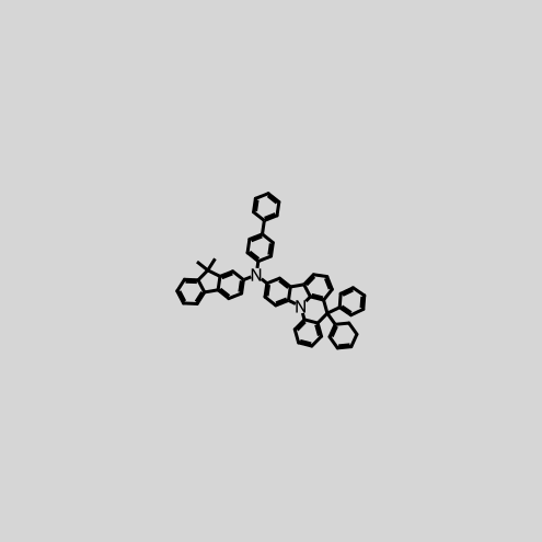 CC1(C)c2ccccc2-c2ccc(N(c3ccc(-c4ccccc4)cc3)c3ccc4c(c3)c3cccc5c3n4-c3ccccc3C5(C3=CC=CCC3)c3ccccc3)cc21